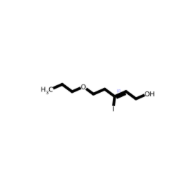 CCCOCC/C(I)=C/CO